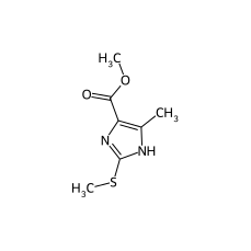 COC(=O)c1nc(SC)[nH]c1C